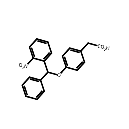 O=C(O)Cc1ccc(OC(c2ccccc2)c2ccccc2[N+](=O)[O-])cc1